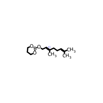 CC(C)=CCC/C(C)=C/COB1OCCCO1